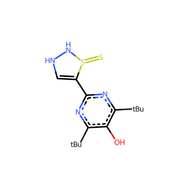 CC(C)(C)c1nc(C2=CNNS2=S)nc(C(C)(C)C)c1O